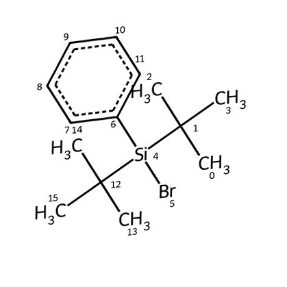 CC(C)(C)[Si](Br)(c1ccccc1)C(C)(C)C